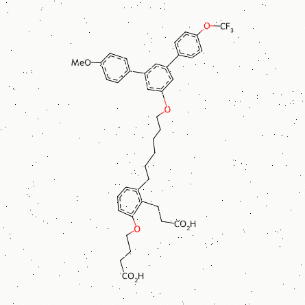 COc1ccc(-c2cc(OCCCCCCc3cccc(OCCCC(=O)O)c3CCC(=O)O)cc(-c3ccc(OC(F)(F)F)cc3)c2)cc1